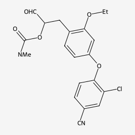 CCOc1cc(Oc2ccc(C#N)cc2Cl)ccc1CC(C=O)OC(=O)NC